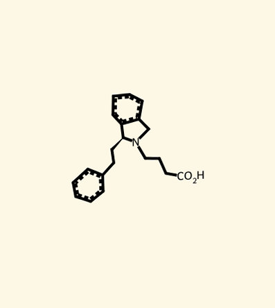 O=C(O)CCCN1Cc2ccccc2[C@@H]1CCc1ccccc1